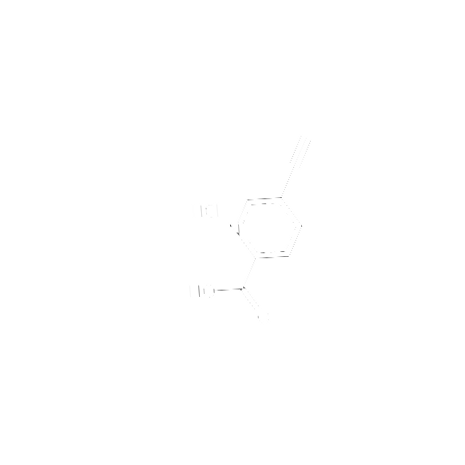 C#Cc1ccc(C(=O)O)nc1.Cl